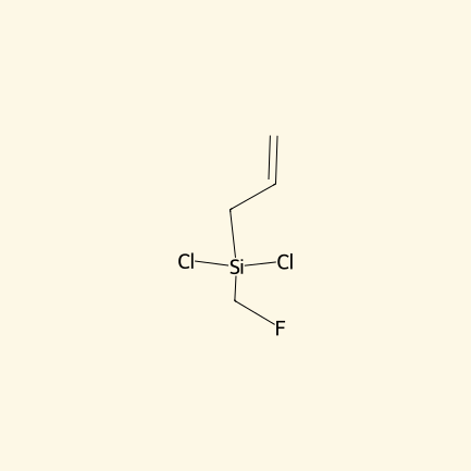 C=CC[Si](Cl)(Cl)CF